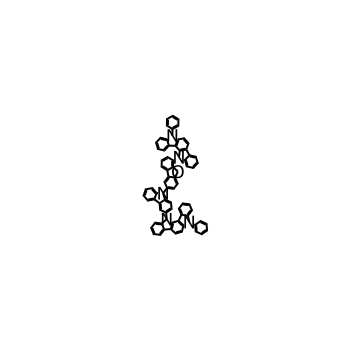 c1ccc(-n2c3ccccc3c3c2ccc2c4ccccc4n(-c4ccc5c(c4)c4ccccc4n5-c4ccc5oc6c(-n7c8ccccc8c8ccc9c(c%10ccccc%10n9-c9ccccc9)c87)cccc6c5c4)c23)cc1